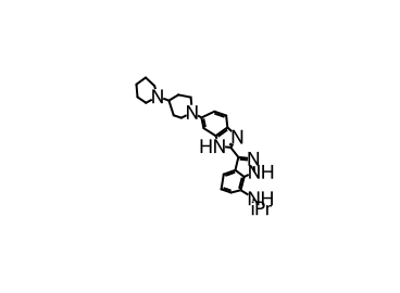 CC(C)Nc1cccc2c(-c3nc4ccc(N5CCC(N6CCCCC6)CC5)cc4[nH]3)n[nH]c12